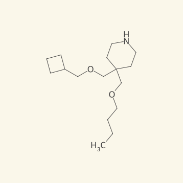 CCCCOCC1(COCC2CCC2)CCNCC1